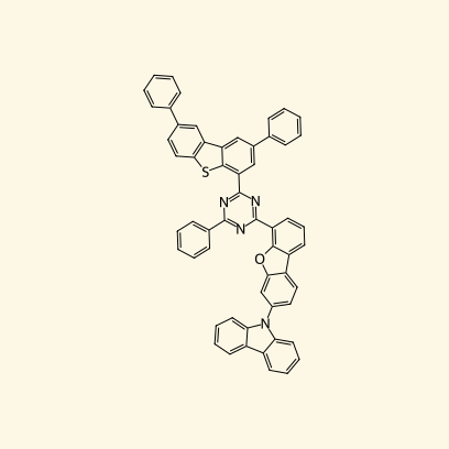 c1ccc(-c2ccc3sc4c(-c5nc(-c6ccccc6)nc(-c6cccc7c6oc6cc(-n8c9ccccc9c9ccccc98)ccc67)n5)cc(-c5ccccc5)cc4c3c2)cc1